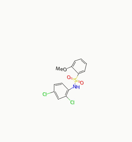 COc1ccccc1S(=O)(=O)Nc1ccc(Cl)cc1Cl